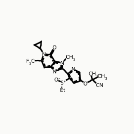 CC[S@+]([O-])c1cc(OC(C)(C)C#N)cnc1-c1nc2cc(C(F)(F)F)n(C3CC3)c(=O)c2n1C